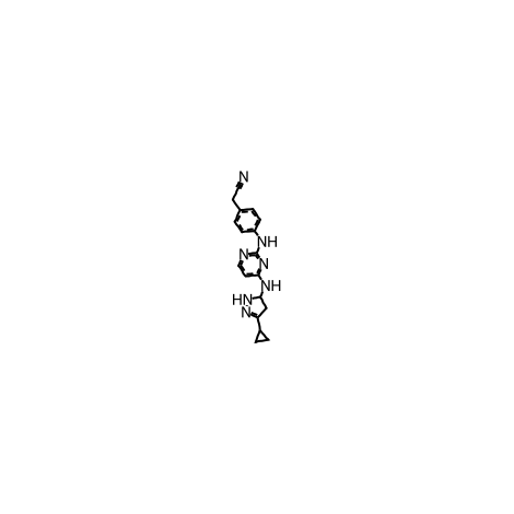 N#CCc1ccc(Nc2nccc(NC3CC(C4CC4)=NN3)n2)cc1